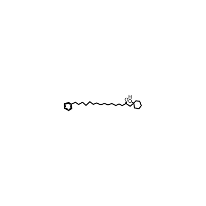 O=C(CCCCCCCCCCCCCCc1ccccc1)CC1(O)CCCCC1